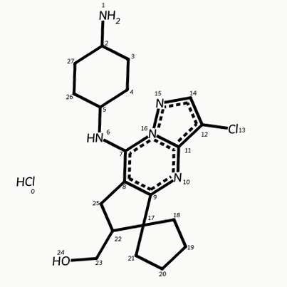 Cl.NC1CCC(Nc2c3c(nc4c(Cl)cnn24)C2(CCCC2)C(CO)C3)CC1